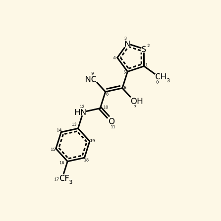 Cc1sncc1/C(O)=C(\C#N)C(=O)Nc1ccc(C(F)(F)F)cc1